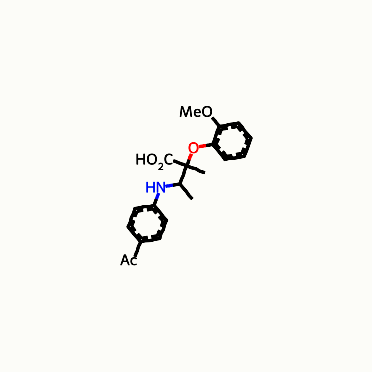 COc1ccccc1OC(C)(C(=O)O)C(C)Nc1ccc(C(C)=O)cc1